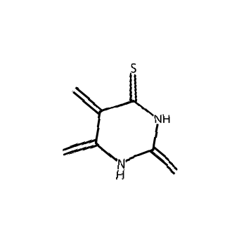 C=C1NC(=C)C(=C)C(=S)N1